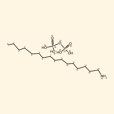 CCCCCCCCCCCCCCCCN.O=P(O)(O)OP(=O)(O)O